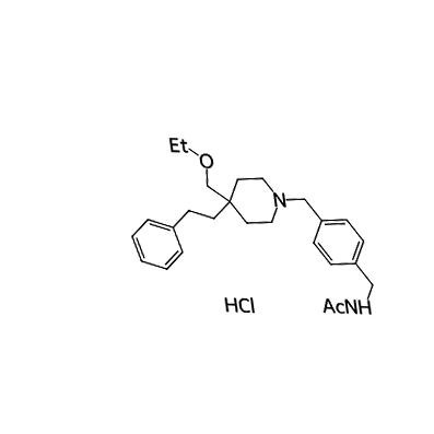 CCOCC1(CCc2ccccc2)CCN(Cc2ccc(CNC(C)=O)cc2)CC1.Cl